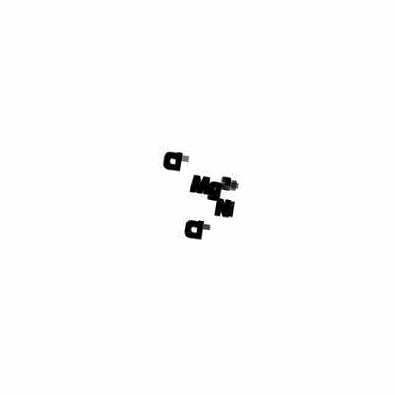 [Cl-].[Cl-].[Mg+2].[N]